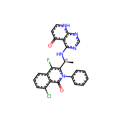 C[C@H](Nc1ncnc2[nH]ccc(=O)c12)c1c(F)c2cccc(Cl)c2c(=O)n1-c1ccccc1